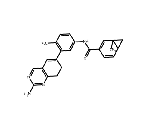 Nc1ncc2c(n1)CCC(c1cc(NC(=O)C3=CC4(C(F)(F)F)CC4C=C3)ccc1C(F)(F)F)=C2